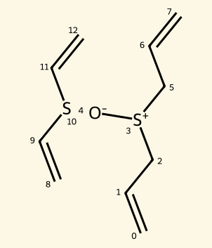 C=CC[S+]([O-])CC=C.C=CSC=C